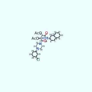 CC(=O)O[C@H](C(=O)Nc1ccc2ccccc2c1)[C@H](OC(C)=O)C(=O)N1CCN(c2cccc(Cl)c2)CC1